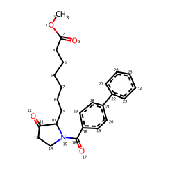 COC(=O)CCCCCCC1C(=O)CCN1C(=O)c1ccc(-c2ccccc2)cc1